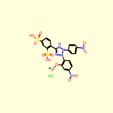 COc1cc([N+](=O)[O-])ccc1N1N=C(c2ccc(S(=O)(=O)O)cc2S(=O)(=O)O)NN1c1ccc([N+](=O)[O-])cc1.Cl